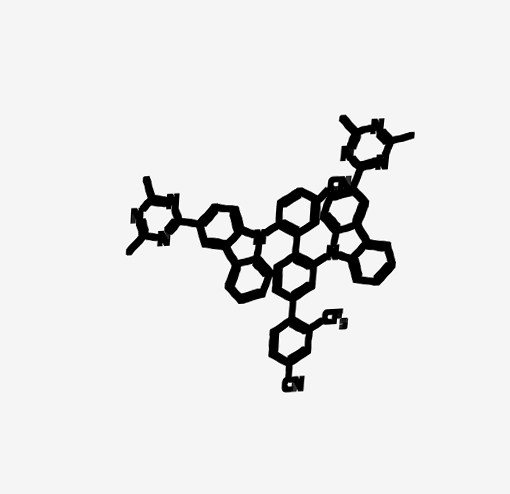 Cc1nc(C)nc(-c2ccc3c(c2)c2ccccc2n3-c2ccc(C#N)cc2-c2ccc(-c3ccc(C#N)cc3C(F)(F)F)cc2-n2c3ccccc3c3cc(-c4nc(C)nc(C)n4)ccc32)n1